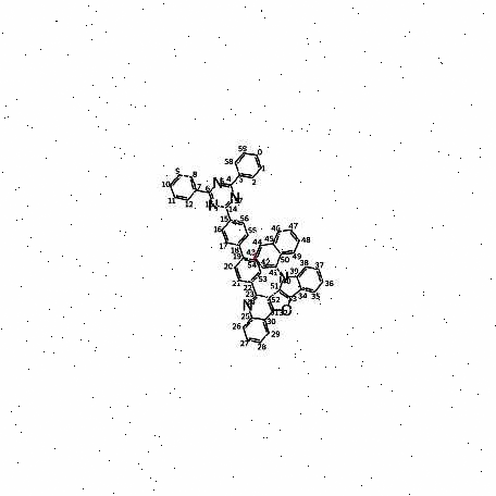 c1ccc(-c2nc(-c3ccccc3)nc(-c3ccc(-c4ccc(-c5nc6ccccc6c6oc7c8ccccc8n(-c8cccc9ccccc89)c7c56)cc4)cc3)n2)cc1